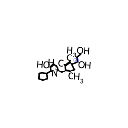 CC1=C(CC2CC=C(O)C(C3CCCCC3)=N2)C(C)=C(C)C(/C(O)=C/CO)C1